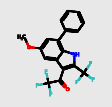 COc1cc(-c2ccccc2)c2[nH]c(C(F)(F)F)c(C(=O)C(F)(F)F)c2c1